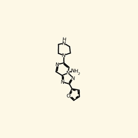 N[N+]12C=C(N3CCNCC3)N=CC1=NC(c1ccco1)=N2